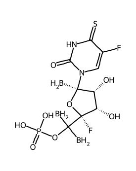 BC(B)(OP(=O)(O)O)[C@@]1(F)O[C@@](B)(n2cc(F)c(=S)[nH]c2=O)[C@H](O)[C@@H]1O